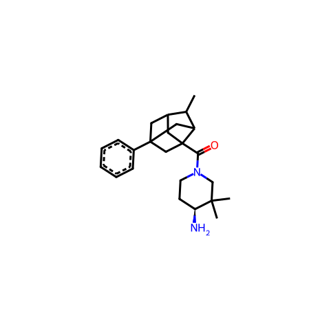 CC1C2CC3(c4ccccc4)CC1C(C(=O)N1CC[C@H](N)C(C)(C)C1)(C2)C3